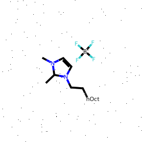 CCCCCCCCCCN1C=CN(C)C1C.F[B-](F)(F)F